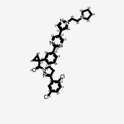 O=C(N1CCC(c2cc(Cl)ccc2Cl)=N1)C1(c2cccc(-c3ncc(-c4cnn(CCN5CCCC5)c4)cn3)c2)CC1